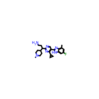 Cc1cc(F)cc2[nH]c(-c3cnc(C(CCN)C4CCN(C)CC4)nc3C3CC3)nc12